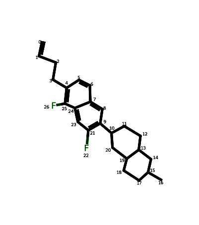 C=CCCc1ccc2cc(C3CCC4CC(C)CCC4C3)c(F)cc2c1F